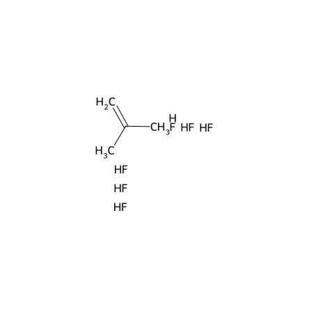 C=C(C)C.F.F.F.F.F.F